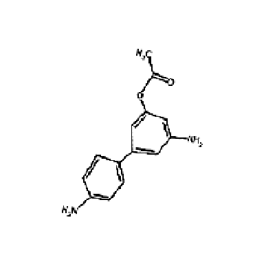 CC(=O)Oc1cc(N)cc(-c2ccc(N)cc2)c1